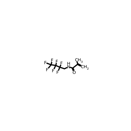 C=C(C)C(=O)NCC(F)(F)C(F)(F)C(F)(F)F